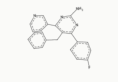 Nc1nc(-c2ccc(F)cc2)c(Cc2ccccc2)c(-c2cccnc2)n1